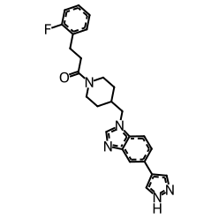 O=C(CCc1ccccc1F)N1CCC(Cn2cnc3cc(-c4cn[nH]c4)ccc32)CC1